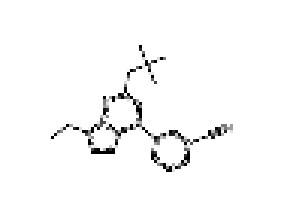 CCc1ccc2c(-c3cccc(C#N)c3)cc(CC(C)(C)C)nn12